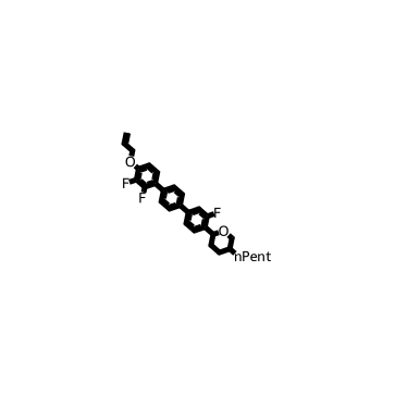 C=CCOc1ccc(-c2ccc(-c3ccc(C4CCC(CCCCC)CO4)c(F)c3)cc2)c(F)c1F